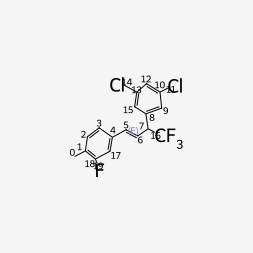 Cc1ccc(/C=C/C(c2cc(Cl)cc(Cl)c2)C(F)(F)F)cc1F